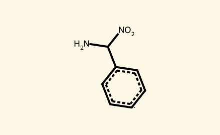 NC(c1cc[c]cc1)[N+](=O)[O-]